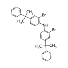 CC(C)(c1ccccc1)c1ccc(Nc2ccc(C(C)(C)c3ccccc3)cc2Br)c(Br)c1